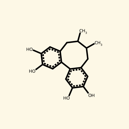 CC1Cc2cc(O)c(O)cc2-c2cc(O)c(O)cc2CC1C